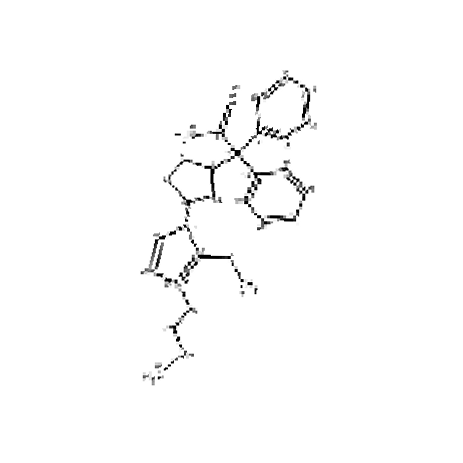 CCc1n(C2CCC(C(C(N)=O)(c3ccccc3)c3ccccc3)C2)cc[n+]1CCOC